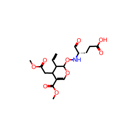 C=CC1C(ON[C@H](C=O)CCC(=O)O)OC=C(C(=O)OC)C1CC(=O)OC